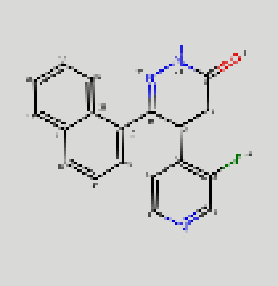 O=C1CC(c2ccncc2F)C(c2cccc3ccccc23)=NN1